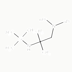 CCCN(CCC)CC(C)(C)N[Si](C)(C)C